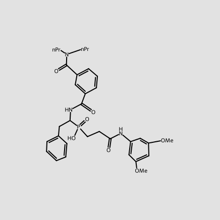 CCCN(CCC)C(=O)c1cccc(C(=O)NC(Cc2ccccc2)P(=O)(O)CCC(=O)Nc2cc(OC)cc(OC)c2)c1